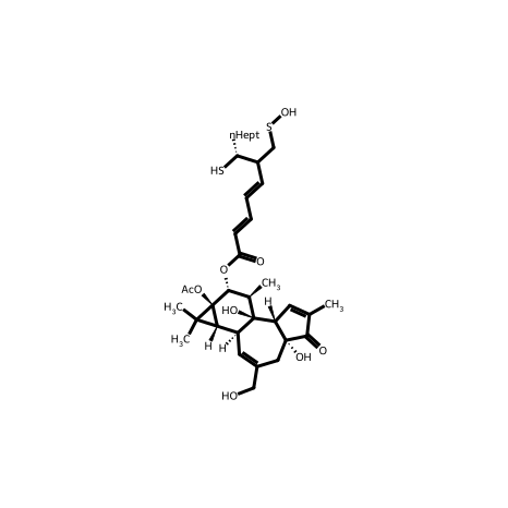 CCCCCCC[C@@H](S)C(/C=C/C=C/C(=O)O[C@@H]1[C@@H](C)[C@@]2(O)[C@@H](C=C(CO)C[C@]3(O)C(=O)C(C)=C[C@@H]23)[C@@H]2C(C)(C)[C@]12OC(C)=O)CSO